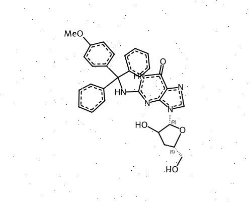 COc1ccc(C(Nc2nc3c(ncn3[C@@H]3O[C@H](CO)CC3O)c(=O)[nH]2)(c2ccccc2)c2ccccc2)cc1